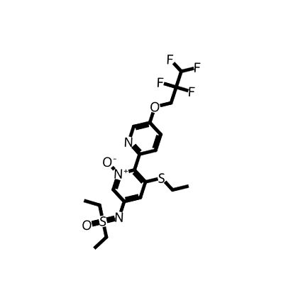 CCSc1cc(N=S(=O)(CC)CC)c[n+]([O-])c1-c1ccc(OCC(F)(F)C(F)F)cn1